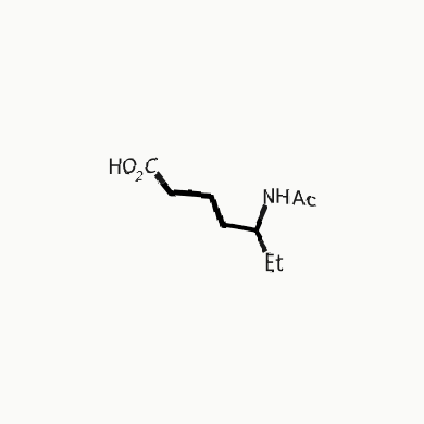 CCC(CCCC(=O)O)NC(C)=O